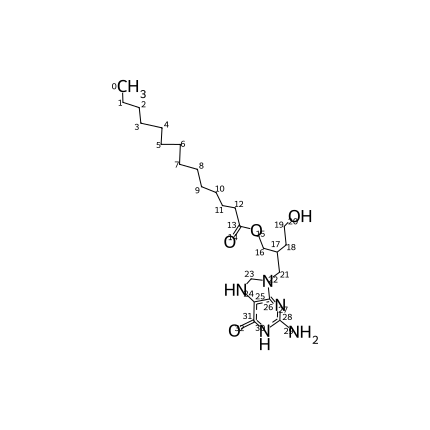 CCCCCCCCCCCCCC(=O)OCC(CCO)CN1CNc2c1nc(N)[nH]c2=O